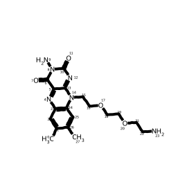 Cc1cc2nc3c(=O)n(N)c(=O)nc-3n(CCOCCOCCN)c2cc1C